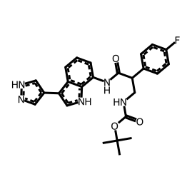 CC(C)(C)OC(=O)NCC(C(=O)Nc1cccc2c(-c3cn[nH]c3)c[nH]c12)c1ccc(F)cc1